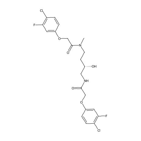 CN(CC[C@H](O)CNC(=O)COc1ccc(Cl)c(F)c1)C(=O)COc1ccc(Cl)c(F)c1